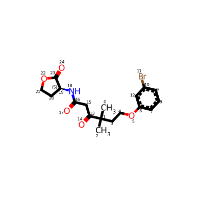 CC(C)(CCOc1cccc(Br)c1)C(=O)CC(=O)N[C@H]1CCOC1=O